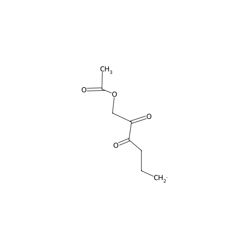 [CH2]CCC(=O)C(=O)COC(C)=O